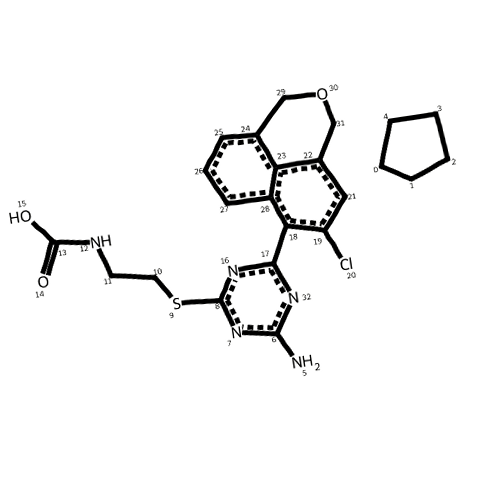 C1CCCC1.Nc1nc(SCCNC(=O)O)nc(-c2c(Cl)cc3c4c(cccc24)COC3)n1